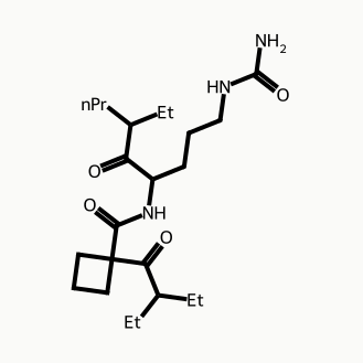 CCCC(CC)C(=O)C(CCCNC(N)=O)NC(=O)C1(C(=O)C(CC)CC)CCC1